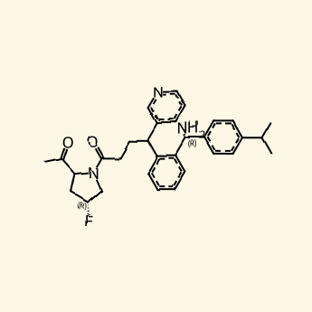 CC(=O)C1C[C@@H](F)CN1C(=O)CCC(c1cccnc1)c1ccccc1[C@H](N)c1ccc(C(C)C)cc1